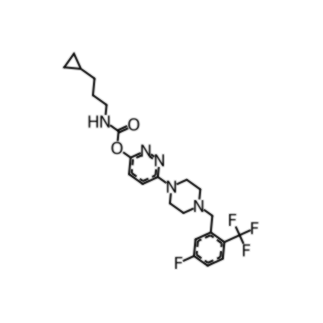 O=C(NCCCC1CC1)Oc1ccc(N2CCN(Cc3cc(F)ccc3C(F)(F)F)CC2)nn1